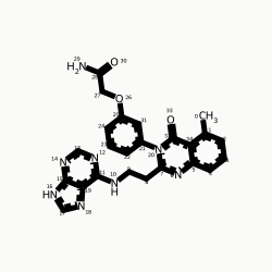 Cc1cccc2nc(CCNc3ncnc4[nH]cnc34)n(-c3cccc(OCC(N)=O)c3)c(=O)c12